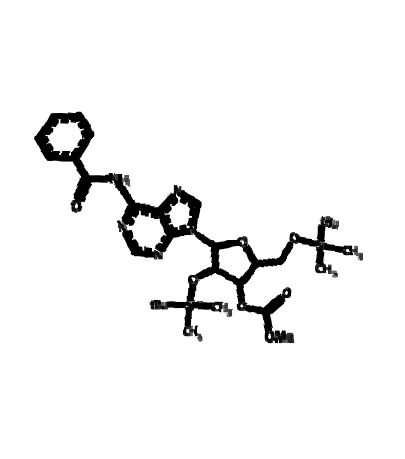 COC(=O)OC1C(CO[Si](C)(C)C(C)(C)C)OC(n2cnc3c(NC(=O)c4ccccc4)ncnc32)C1O[Si](C)(C)C(C)(C)C